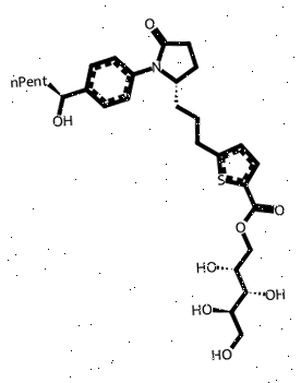 CCCCC[C@H](O)c1ccc(N2C(=O)CC[C@@H]2CCCc2ccc(C(=O)OC[C@@H](O)[C@H](O)[C@H](O)CO)s2)cc1